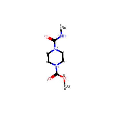 CC(C)(C)NC(=O)N1CCN(C(=O)OC(C)(C)C)CC1